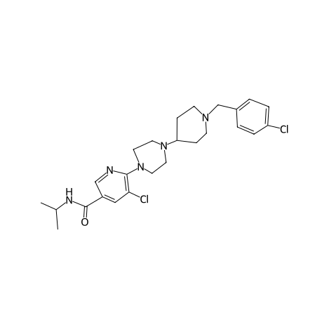 CC(C)NC(=O)c1cnc(N2CCN(C3CCN(Cc4ccc(Cl)cc4)CC3)CC2)c(Cl)c1